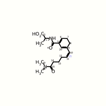 CC(NC(=O)C1=CCCC(/C=C\CCCC(=O)N(C)C)=C1)C(=O)O